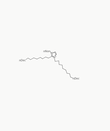 CCCCCCCCCCCCCCCCCCC[n+]1ccn(CCCCCCCCC)c1CCCCCCCCCCCCCCCCCC